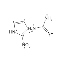 N=C(N)N.O=[N+]([O-])c1ccc[nH]1